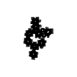 C1=C2Oc3ccc4c(c3OC2=CCC1)c1cc2ccccc2cc1n4-c1cccc(-c2cccc(-c3nc(-c4ccccc4)nc(-c4ccccc4)n3)c2)c1